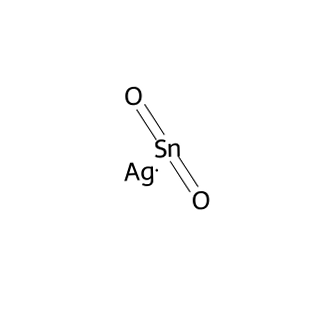 [Ag].[O]=[Sn]=[O]